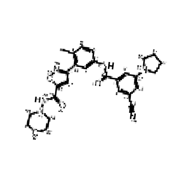 Cc1ccc(NC(=O)c2cc(C#N)cc(N3CCCC3)c2)cc1-c1cc(C(=O)NN2CCOCC2)on1